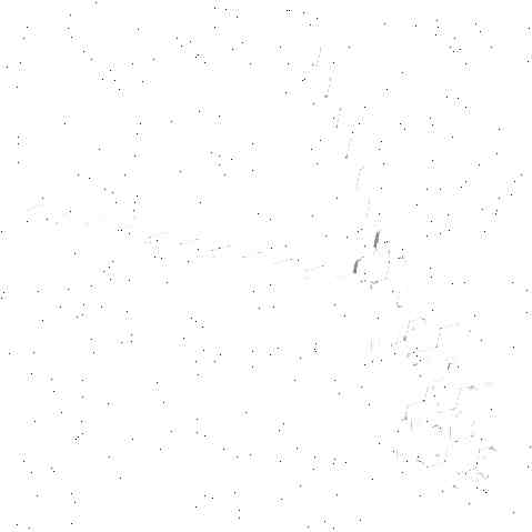 CCCCCCCCCCCCC/C=C/[C@@H](O)[C@H](CO[C@@H]1OC(CO)[C@@H](O[C@@H]2OC(CO)[C@@H](O)[C@H](O[C@H]3OC(CO)[C@@H](O)[C@H](O)C3O)C2O)[C@H](O)C1O)NC(=O)CCCCCCCCCCCCCCCCCCCCC